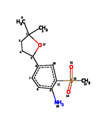 CC1(C)CCC(c2ccc(N)c(S(C)(=O)=O)c2)O1